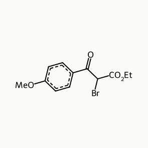 CCOC(=O)C(Br)C(=O)c1ccc(OC)cc1